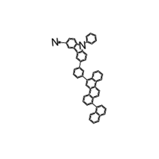 N#Cc1ccc2c(c1)c1cc(-c3cccc(-c4cc5c6cccc(-c7cccc8ccccc78)c6ccc5c5ccccc45)c3)ccc1n2-c1ccccc1